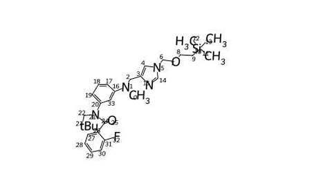 CN(Cc1cn(COCC[Si](C)(C)C)cn1)c1cccc(N(CC(C)(C)C)C(=O)c2ccccc2F)c1